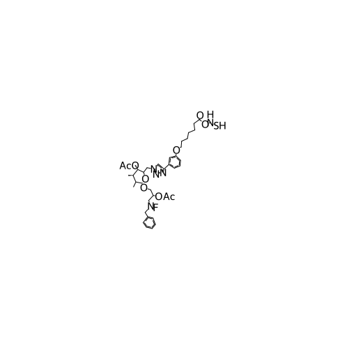 CC(=O)OC(COC1OC(Cn2cc(-c3cccc(OCCCCCCC(=O)ONS)c3)nn2)[C@H](OC(C)=O)[C@H](C)C1C)CN(F)Cc1ccccc1